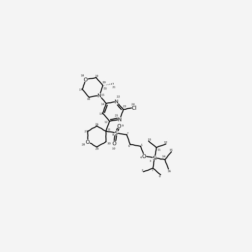 CC(C)[Si](OCCCS(=O)(=O)C1(c2cc(N3CCOC[C@@H]3C)nc(Cl)n2)CCOCC1)(C(C)C)C(C)C